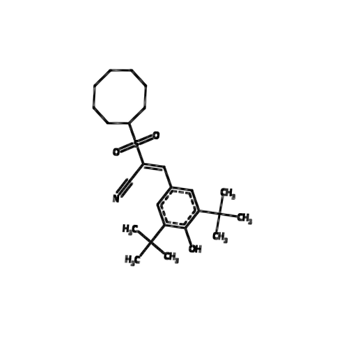 CC(C)(C)c1cc(C=C(C#N)S(=O)(=O)C2CCCCCCC2)cc(C(C)(C)C)c1O